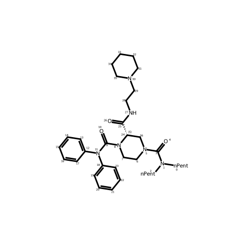 CCCCCN(CCCCC)C(=O)N1CCN(C(=O)N(c2ccccc2)c2ccccc2)[C@H](C(=O)NCCN2CCCCC2)C1